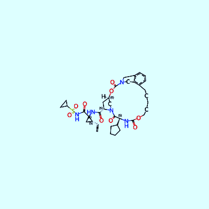 C=C[C@@H]1C[C@]1(NC(=O)[C@@H]1C[C@@H]2CN1C(=O)[C@H](C1CCCC1)NC(=O)OCCCCCc1cccc3c1CN(C3)C(=O)O2)C(=O)NS(=O)(=O)C1CC1